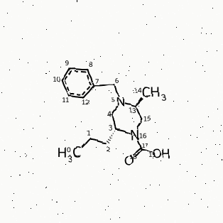 CCC[C@@H]1CN(Cc2ccccc2)[C@@H](C)CN1C(=O)O